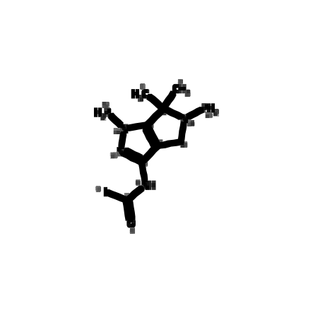 CC1(C)c2c(c(NC(=O)I)nn2P)CN1P